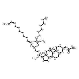 CCCCCCCC/C=C\CCCCCCCCOC(CC[C@@H](C)C1CCC2C3CCC4CC(OC(=O)C(C)(C)C)CCC4(C)C3CCC21C)O[Si](C)(C)OCCCCCCBr